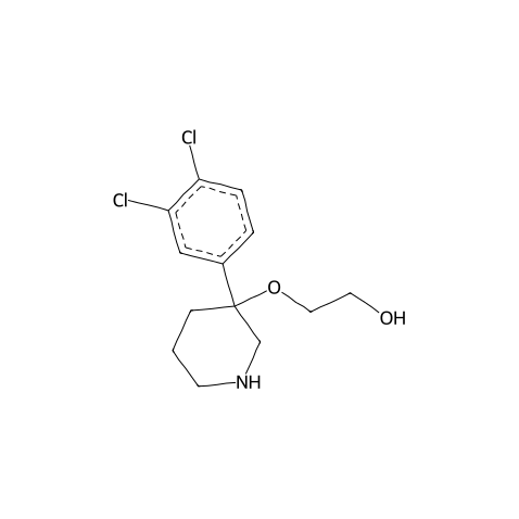 OCCOC1(c2ccc(Cl)c(Cl)c2)CCCNC1